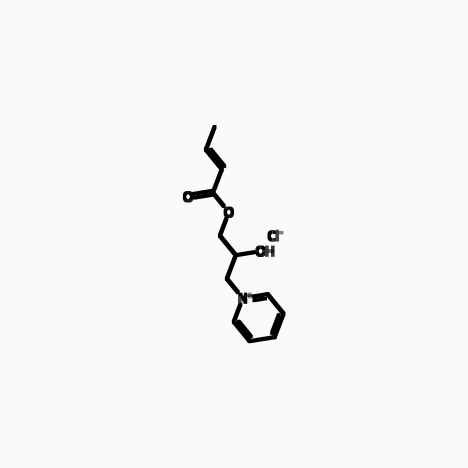 CC=CC(=O)OCC(O)C[n+]1ccccc1.[Cl-]